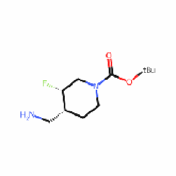 CC(C)(C)OC(=O)N1CC[C@H](CN)[C@H](F)C1